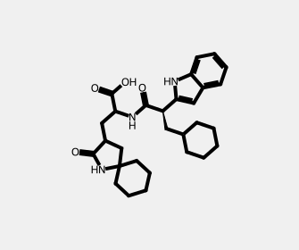 O=C1NC2(CCCCC2)CC1CC(NC(=O)[C@H](CC1CCCCC1)c1cc2ccccc2[nH]1)C(=O)O